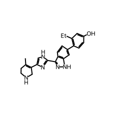 CCc1cc(O)ccc1-c1ccc2c(-c3nc(C4=C(C)CCNC4)c[nH]3)n[nH]c2c1